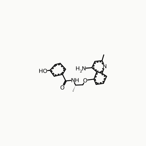 Cc1cc(N)c2c(OC[C@H](C)NC(=O)c3cccc(O)c3)cccc2n1